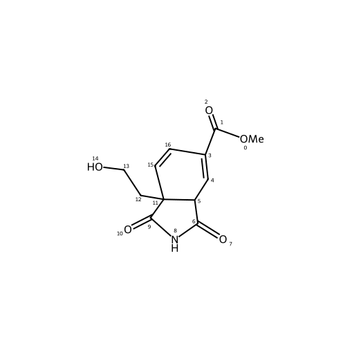 COC(=O)C1=CC2C(=O)NC(=O)C2(CCO)C=C1